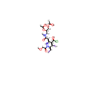 COCC(=O)NC(=C\I)/C(I)=C(C(=O)Cl)\C(I)=C\C(=O)N(C)CC(COC(C)=O)OC(C)=O